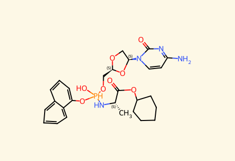 C[C@H](N[PH](O)(OC[C@H]1OC[C@@H](n2ccc(N)nc2=O)O1)Oc1cccc2ccccc12)C(=O)OC1CCCCC1